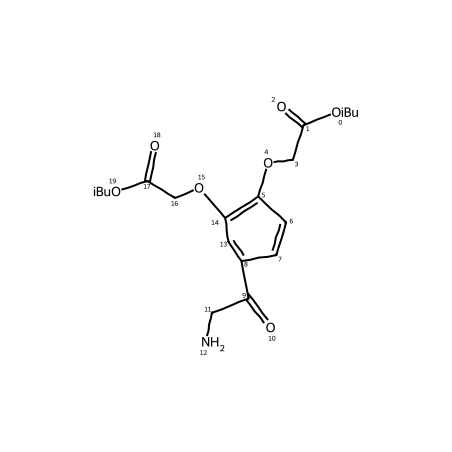 CC(C)COC(=O)COc1ccc(C(=O)CN)cc1OCC(=O)OCC(C)C